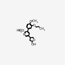 CCCOc1cc(-c2cncc(C3COB(O)C3)c2)ccc1OC.Cl.O